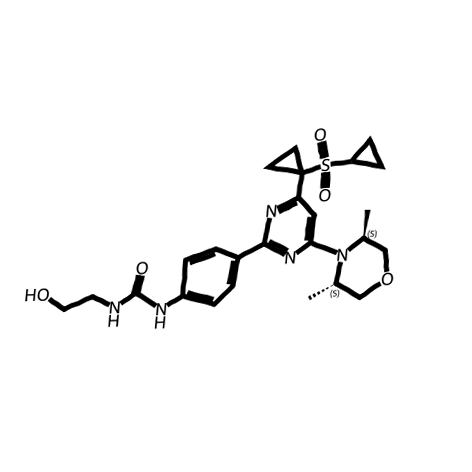 C[C@H]1COC[C@H](C)N1c1cc(C2(S(=O)(=O)C3CC3)CC2)nc(-c2ccc(NC(=O)NCCO)cc2)n1